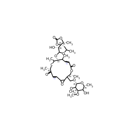 COC1[C@H](OCC2C3OC3/C=C/C(=O)[C@H](C)CC(C)[C@H](OC3OC(C)C[C@@]4(OC(=O)O[C@@H]4C)[C@H]3O)C(C)/C=C/C(=O)O[C@@H]2C)O[C@H](C)C(O)[C@H]1OC